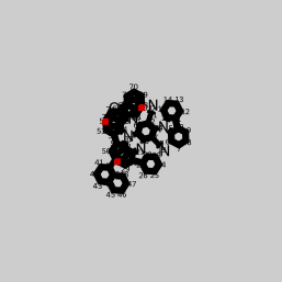 N#Cc1c(-n2c3ccccc3c3ccccc32)c(C#N)c(-n2c3ccccc3c3ccccc32)c(-n2c3ccc(-c4cccc5ccccc45)cc3c3ccc4oc5ccccc5c4c32)c1-n1c2ccccc2c2ccccc21